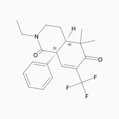 CCN1CC[C@H]2C(C)(C)C(=O)C(C(F)(F)F)=C[C@@]2(c2ccccc2)C1=O